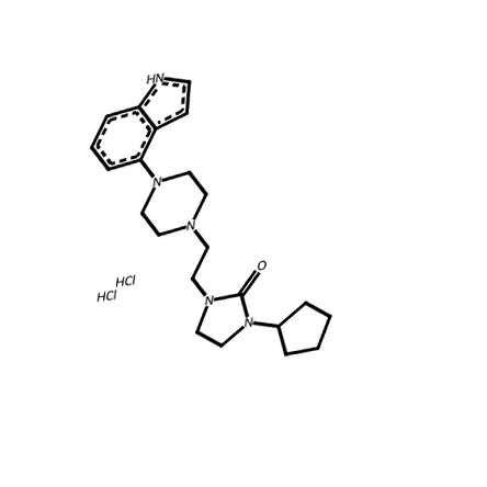 Cl.Cl.O=C1N(CCN2CCN(c3cccc4[nH]ccc34)CC2)CCN1C1CCCC1